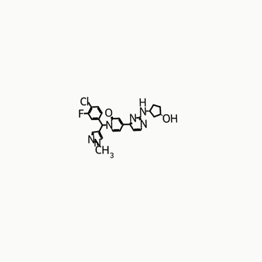 Cn1cc(C(c2ccc(Cl)c(F)c2)n2ccc(-c3ccnc(N[C@H]4CC[C@H](O)C4)n3)cc2=O)cn1